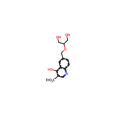 CCOC(=O)c1cnc2ccc(COC(CO)CO)cc2c1O